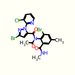 CNC(=O)c1cc(C)cc(Br)c1N(C(C)=O)C(=O)c1cc(Br)nn1-c1ncccc1Cl